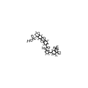 O=C(O)OC1CCOc2cc(Oc3ccc(C(=O)Nc4cccc(-c5ccc(Cl)c(C(F)(F)F)c5)n4)cc3)c(Cl)cc21